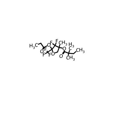 CCC(=O)OC1(C(F)(F)F)OCC(C)(OC(=O)C(C)(C)CC)C1(F)F